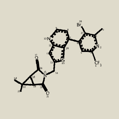 Cc1nc(C(F)(F)F)cc(-c2ccnc3cc(CN4C(=O)C5C(C4=O)C5(C)C)sc23)c1Br